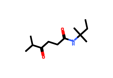 CCC(C)(C)NC(=O)CCC(=O)C(C)C